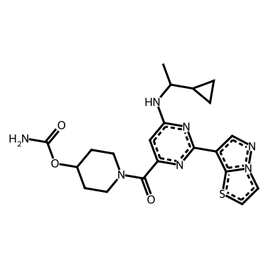 CC(Nc1cc(C(=O)N2CCC(OC(N)=O)CC2)nc(-c2cnn3ccsc23)n1)C1CC1